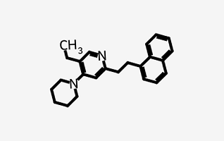 CCc1cnc(CCc2cccc3ccccc23)cc1N1CCCCC1